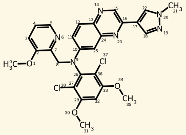 COc1cccnc1CN(c1ccc2ncc(-c3cnn(C)c3)nc2c1)c1c(Cl)c(OC)cc(OC)c1Cl